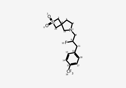 O=S1(=O)CC2(CCN(CC(F)Cc3ccc(C(F)(F)F)cc3)C2)C1